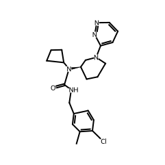 Cc1cc(CNC(=O)N(C2CCC2)[C@@H]2CCCN(c3cccnn3)C2)ccc1Cl